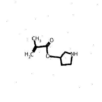 C=C(C)C(=O)OC1CCNC1